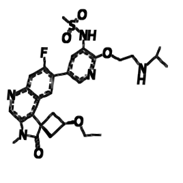 CCO[C@H]1C[C@@]2(C1)C(=O)N(C)c1cnc3cc(F)c(-c4cnc(OCCNC(C)C)c(NS(C)(=O)=O)c4)cc3c12